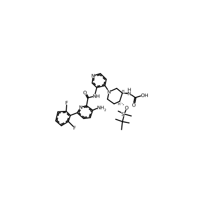 CC(C)(C)[Si](C)(C)O[C@@H]1CCN(c2ccncc2NC(=O)c2nc(-c3c(F)cccc3F)ccc2N)C[C@H]1NC(=O)O